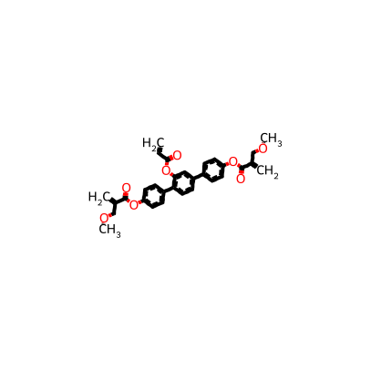 C=CC(=O)Oc1cc(-c2ccc(OC(=O)C(=C)COC)cc2)ccc1-c1ccc(OC(=O)C(=C)COC)cc1